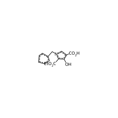 CCOC(=O)c1c(O)c(C(=O)O)cn1Cc1ccccc1